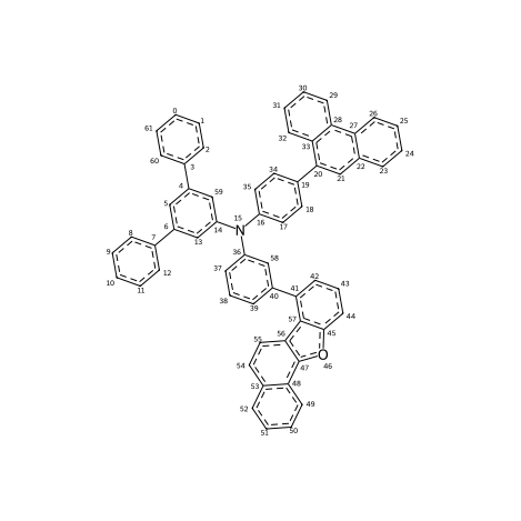 c1ccc(-c2cc(-c3ccccc3)cc(N(c3ccc(-c4cc5ccccc5c5ccccc45)cc3)c3cccc(-c4cccc5oc6c7ccccc7ccc6c45)c3)c2)cc1